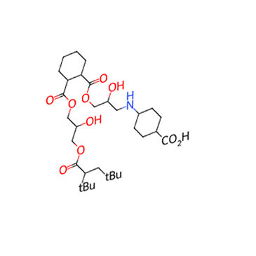 CC(C)(C)CC(C(=O)OCC(O)COC(=O)C1CCCCC1C(=O)OCC(O)CNC1CCC(C(=O)O)CC1)C(C)(C)C